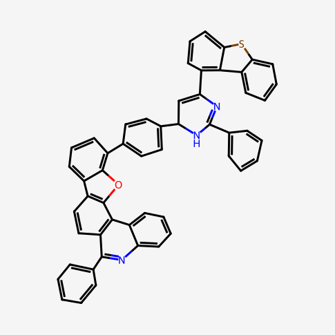 C1=C(c2cccc3sc4ccccc4c23)N=C(c2ccccc2)NC1c1ccc(-c2cccc3c2oc2c3ccc3c(-c4ccccc4)nc4ccccc4c32)cc1